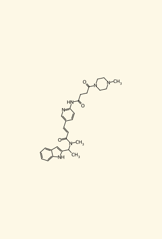 CC(c1cc2ccccc2[nH]1)N(C)C(=O)/C=C/c1ccc(NC(=O)CCC(=O)N2CCN(C)CC2)nc1